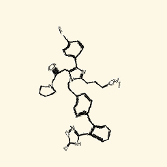 CCCCc1nc(-c2ccc(F)cc2)c(C(=O)N2CCCC2)n1Cc1ccc(-c2ccccc2-c2noc(=O)[nH]2)cc1